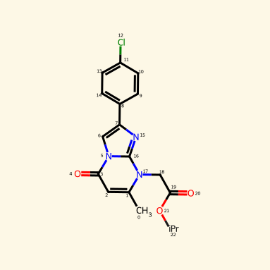 Cc1cc(=O)n2cc(-c3ccc(Cl)cc3)nc2n1CC(=O)OC(C)C